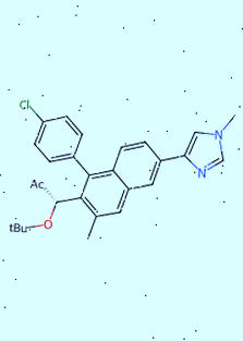 CC(=O)[C@@H](OC(C)(C)C)c1c(C)cc2cc(-c3cn(C)cn3)ccc2c1-c1ccc(Cl)cc1